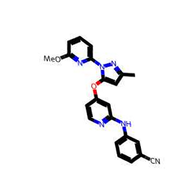 COc1cccc(-n2nc(C)cc2Oc2ccnc(Nc3cccc(C#N)c3)c2)n1